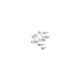 O=C([O-])[O-].O=C([O-])[O-].O=C([O-])[O-].[Fe+2].[Mn+2].[Ni+2]